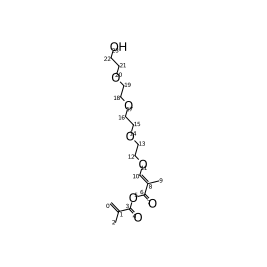 C=C(C)C(=O)OC(=O)C(C)=COCCOCCOCCOCCO